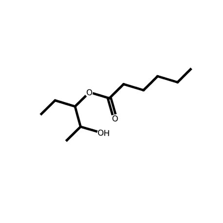 CCCCCC(=O)OC(CC)C(C)O